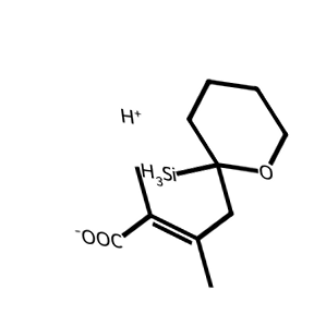 CC(CC1([SiH3])CCCCO1)=C(C)C(=O)[O-].[H+]